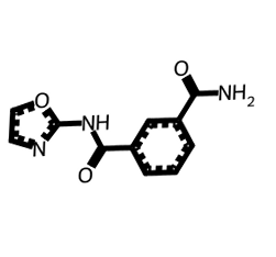 NC(=O)c1cccc(C(=O)Nc2ncco2)c1